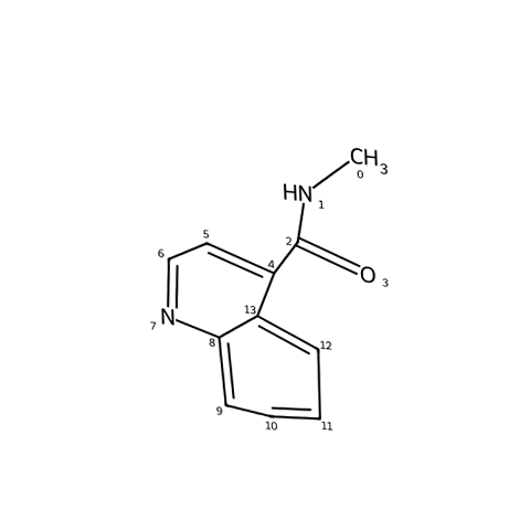 CNC(=O)c1ccnc2ccccc12